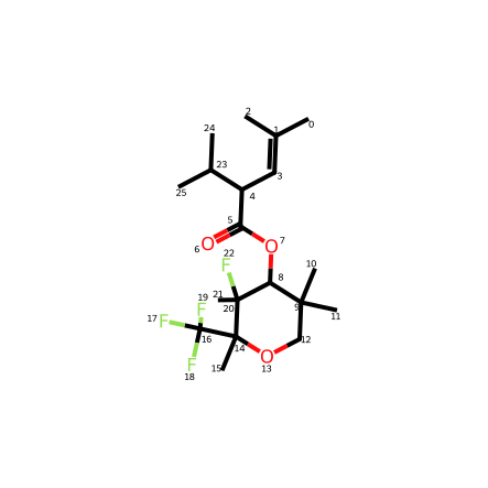 CC(C)=CC(C(=O)OC1C(C)(C)COC(C)(C(F)(F)F)C1(C)F)C(C)C